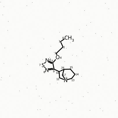 CCCCOc1nsnc1C1CN2CCCC1C2